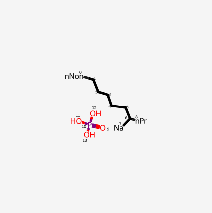 CCCCCCCCCCCCCC[CH]([Na])CCC.O=P(O)(O)O